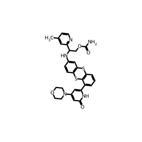 Cc1ccnc(C(COC(N)=O)Nc2ccc3c(c2)Sc2cccc(-c4cc(N5CCOCC5)cc(=O)[nH]4)c2S3)c1